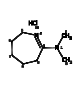 CN(C)C1=NCCCCC1.Cl